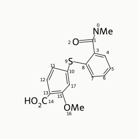 CNC(=O)c1ccccc1Sc1ccc(C(=O)O)c(OC)c1